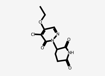 CCOc1cnn(C2CCC(=O)NC2=O)c(=O)c1Cl